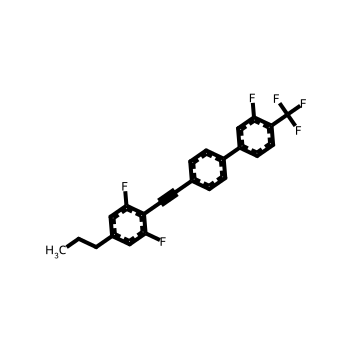 CCCc1cc(F)c(C#Cc2ccc(-c3ccc(C(F)(F)F)c(F)c3)cc2)c(F)c1